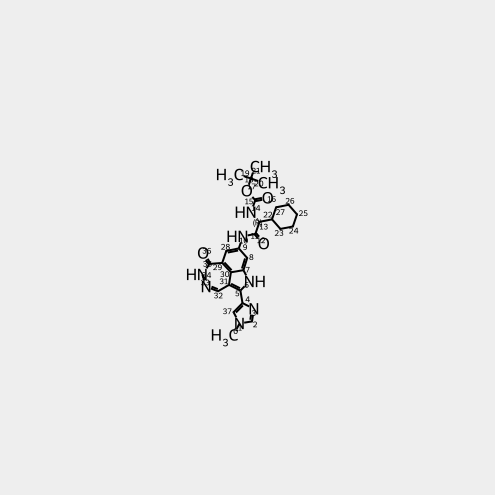 Cn1cnc(-c2[nH]c3cc(NC(=O)[C@H](NC(=O)OC(C)(C)C)C4CCCCC4)cc4c3c2C=NNC4=O)c1